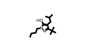 CCCCn1nc(C(C)(C)C)c(CC(C)C)c1O